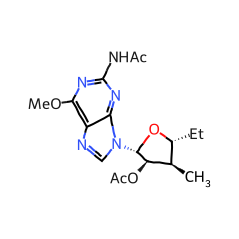 CC[C@H]1O[C@@H](n2cnc3c(OC)nc(NC(C)=O)nc32)[C@H](OC(C)=O)[C@@H]1C